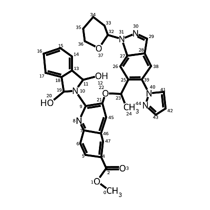 COC(=O)c1ccc2nc(N3C(O)c4ccccc4C3O)c(OC(C)c3cc4c(cnn4C4CCCCO4)cc3-n3cccn3)cc2c1